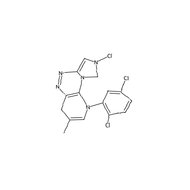 CC1=CN(c2cc(Cl)ccc2Cl)C2=C(C1)N=NC1=CN(Cl)CN12